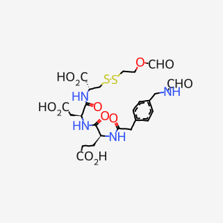 O=CNCc1ccc(CC(=O)N[C@@H](CCC(=O)O)C(=O)N[C@@H](CC(=O)O)C(=O)N[C@@H](CSSCCOC=O)C(=O)O)cc1